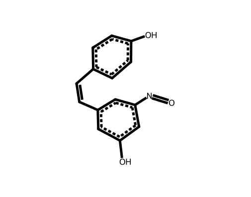 O=Nc1cc(O)cc(/C=C\c2ccc(O)cc2)c1